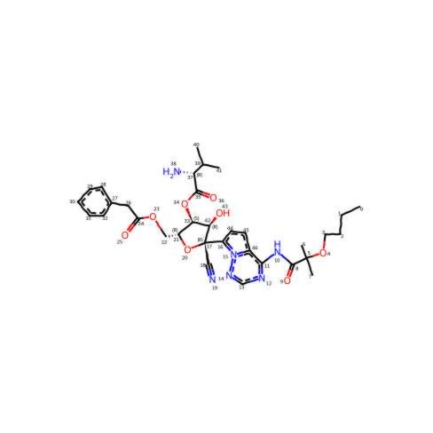 CCCCOC(C)(C)C(=O)Nc1ncnn2c([C@]3(C#N)O[C@H](COC(=O)Cc4ccccc4)[C@@H](OC(=O)[C@H](N)C(C)C)[C@H]3O)ccc12